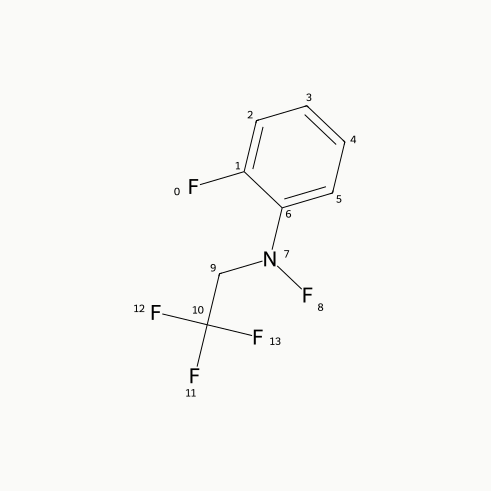 Fc1ccccc1N(F)CC(F)(F)F